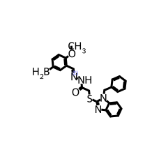 Bc1ccc(OC)c(/C=N/NC(=O)CSc2nc3ccccc3n2Cc2ccccc2)c1